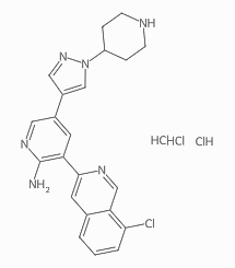 Cl.Cl.Cl.Nc1ncc(-c2cnn(C3CCNCC3)c2)cc1-c1cc2cccc(Cl)c2cn1